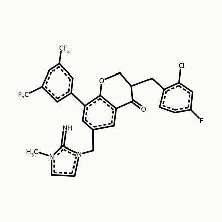 Cn1ccn(Cc2cc3c(c(-c4cc(C(F)(F)F)cc(C(F)(F)F)c4)c2)OCC(Cc2ccc(F)cc2Cl)C3=O)c1=N